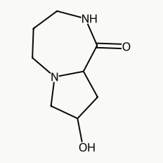 O=C1NCCCN2CC(O)CC12